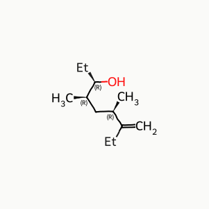 C=C(CC)[C@H](C)C[C@@H](C)[C@H](O)CC